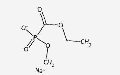 CCOC(=O)P(=O)([O-])OC.[Na+]